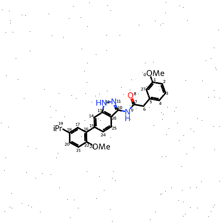 COc1cccc(CC(=O)Nc2n[nH]c3cc(-c4cc(C(C)C)ccc4OC)ccc23)c1